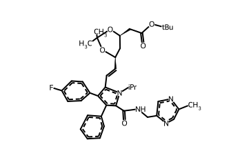 Cc1cnc(CNC(=O)c2c(-c3ccccc3)c(-c3ccc(F)cc3)c(/C=C/[C@@H]3C[C@H](CC(=O)OC(C)(C)C)OC(C)(C)O3)n2C(C)C)cn1